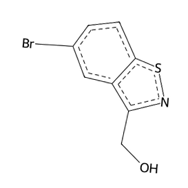 OCc1nsc2ccc(Br)cc12